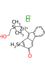 C[Si](C)(CCO)[CH2][Zr+2][C]1=C2C(=CC(=O)C3=C2[SiH2]3)c2ccccc21.[Cl-].[Cl-]